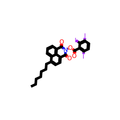 CCCCCCCc1ccc2c3c(cccc13)C(=O)N(OC(=O)c1c(I)ccc(I)c1I)C2=O